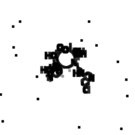 C[C@H]1CN(CCCNc2ccnc3cc(Cl)ccc23)[C@H](C)[C@@H](O)[C@](C)(O)[C@@H](I)OC(=O)[C@H](C)[C@@H](O)[C@H](C)[C@@H](O[C@@H]2O[C@H](C)C[C@H](N(C)C)[C@H]2O)[C@](C)(O)C1